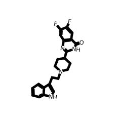 O=c1[nH]c(C2CCN(CCc3c[nH]c4ccccc34)CC2)nc2cc(F)c(F)cc12